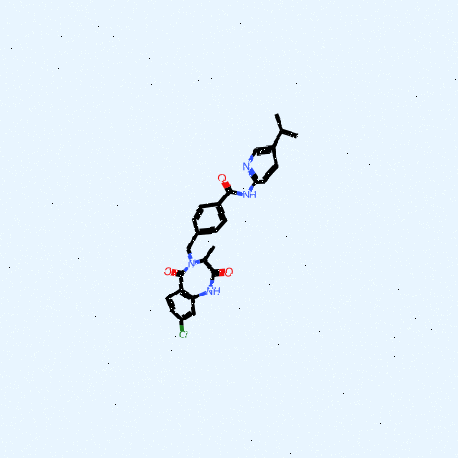 CC(C)c1ccc(NC(=O)c2ccc(CN3C(=O)c4ccc(Cl)cc4NC(=O)C3C)cc2)nc1